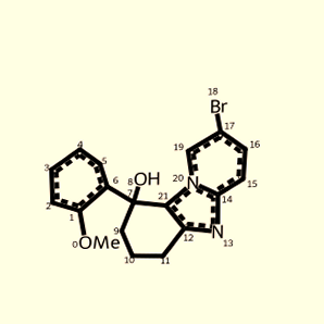 COc1ccccc1C1(O)CCCc2nc3ccc(Br)cn3c21